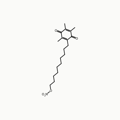 CC1=C(C)C(=O)C(CCCCCCCCCCO[N+](=O)[O-])=C(C)C1=O